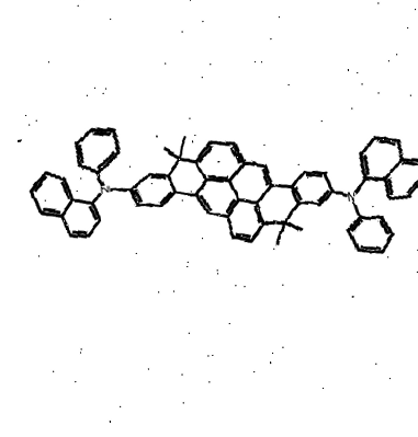 CC1(C)c2cc(N(c3ccccc3)c3cccc4ccccc34)ccc2-c2cc3ccc4c5c(cc6ccc1c2c6c35)-c1ccc(N(c2ccccc2)c2cccc3ccccc23)cc1C4(C)C